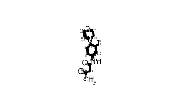 CC(=O)CC(=O)Nc1ccc(N2CCOCC2)c(F)c1